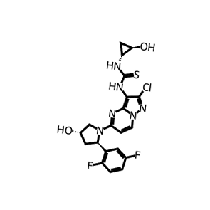 O[C@H]1C[C@H](c2cc(F)ccc2F)N(c2ccn3nc(Cl)c(NC(=S)N[C@@H]4C[C@H]4O)c3n2)C1